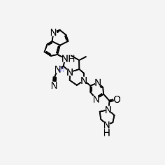 CC(C)C1CN(c2cnc(C(=O)N3CCNCC3)cn2)CCN1/C(=N\C#N)Nc1cccc2ncccc12